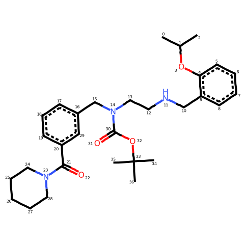 CC(C)Oc1ccccc1CNCCN(Cc1cccc(C(=O)N2CCCCC2)c1)C(=O)OC(C)(C)C